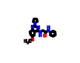 COc1ccc2nc(N3CCCC3)nc(NCC(=O)Nc3ccccc3)c2c1